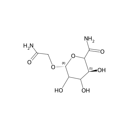 NC(=O)CO[C@@H]1OC(C(N)=O)[C@@H](O)C(O)C1O